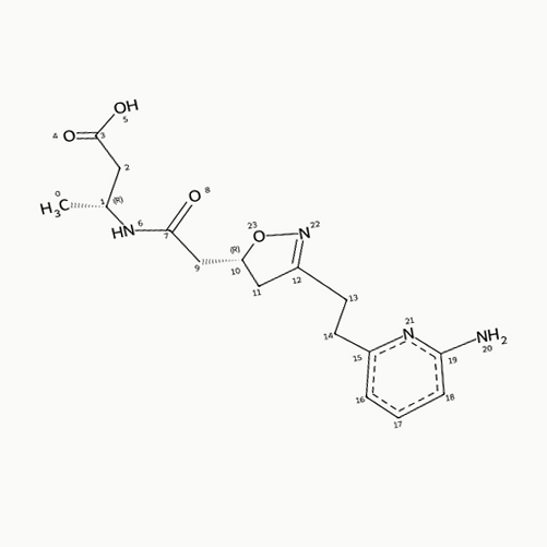 C[C@H](CC(=O)O)NC(=O)C[C@H]1CC(CCc2cccc(N)n2)=NO1